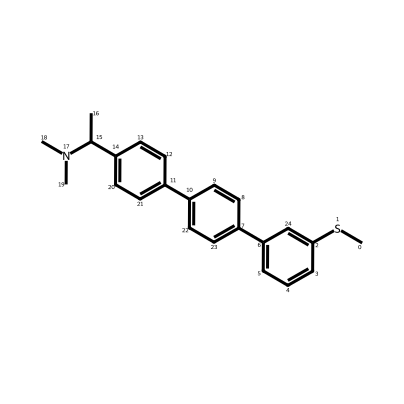 CSc1cccc(-c2ccc(-c3ccc(C(C)N(C)C)cc3)cc2)c1